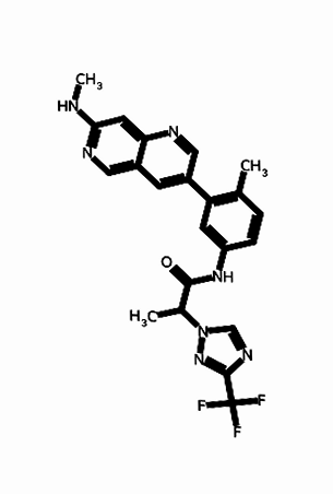 CNc1cc2ncc(-c3cc(NC(=O)C(C)n4cnc(C(F)(F)F)n4)ccc3C)cc2cn1